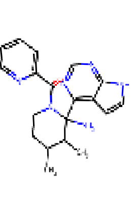 CC1CCN(C(=O)c2ccccn2)C(N)(c2ncnc3[nH]ccc23)C1C